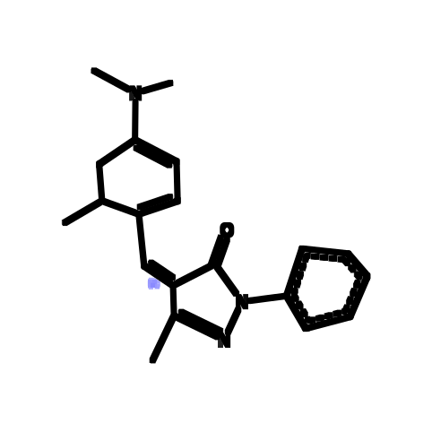 CC1=NN(c2ccccc2)C(=O)/C1=C\C1=CC=C(N(C)C)CC1C